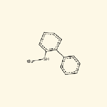 CC(C)(C)[SiH]c1ccccc1-c1ccccc1